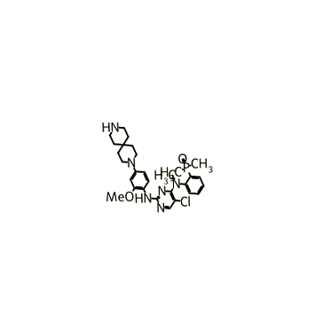 COc1cc(N2CCC3(CCNCC3)CC2)ccc1Nc1ncc(Cl)c(N(C)c2ccccc2P(C)(C)=O)n1